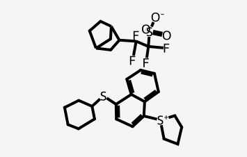 O=S(=O)([O-])C(F)(F)C(F)(F)C1CC2CCC1C2.c1ccc2c([S+]3CCCC3)ccc(SC3CCCCC3)c2c1